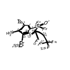 Nc1c(Br)cc(S(=O)(F)(F)C(F)(F)CC(F)(F)F)cc1Br